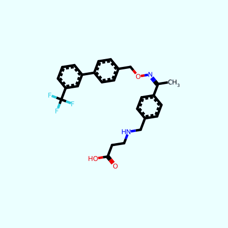 CC(=NOCc1ccc(-c2cccc(C(F)(F)F)c2)cc1)c1ccc(CNCCC(=O)O)cc1